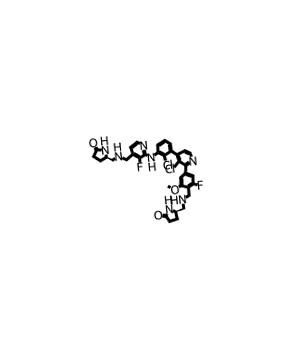 COc1cc(-c2nccc(-c3cccc(Nc4nccc(CNC[C@H]5CCC(=O)N5)c4F)c3Cl)c2Cl)cc(F)c1CNC[C@H]1CCC(=O)N1